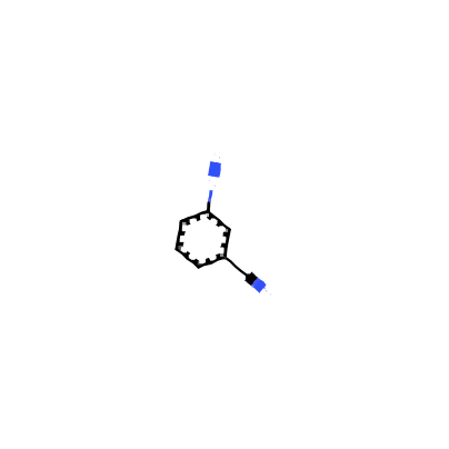 N#Cc1cccc([N+]#N)c1